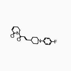 O=C1C=CCCN1C(=O)C=CC1CCN(c2ccc(F)cc2)CC1